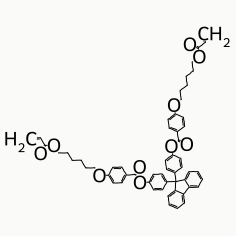 C=CC(=O)OCCCCCCOc1ccc(C(=O)Oc2ccc(C3(c4ccc(OC(=O)c5ccc(OCCCCCCOC(=O)C=C)cc5)cc4)c4ccccc4-c4ccccc43)cc2)cc1